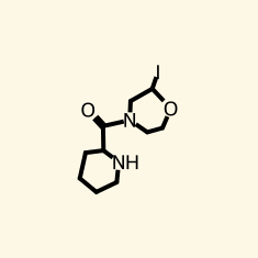 O=C(C1CCCCN1)N1CCOC(I)C1